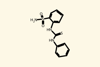 NS(=O)(=O)c1ccccc1NC(=S)Nc1ccccc1